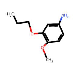 [CH2]CCOc1cc(N)ccc1OC